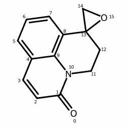 O=c1ccc2cccc3c2n1CCC31CO1